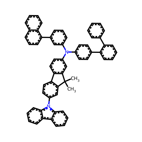 CC1(C)c2cc(N(c3ccc(-c4ccccc4-c4ccccc4)cc3)c3cccc(-c4cccc5ccccc45)c3)ccc2-c2ccc(-n3c4ccccc4c4ccccc43)cc21